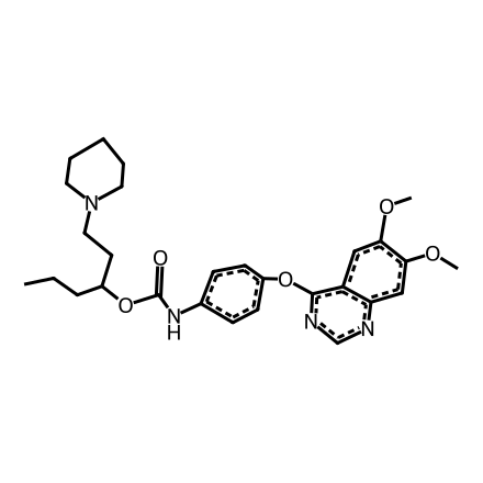 CCCC(CCN1CCCCC1)OC(=O)Nc1ccc(Oc2ncnc3cc(OC)c(OC)cc23)cc1